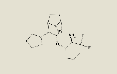 CC(C)N1C2CCC1C(C1CCCC1)[C@@H](O[C@H]1CCCC(F)(F)[C@@H]1N)C2